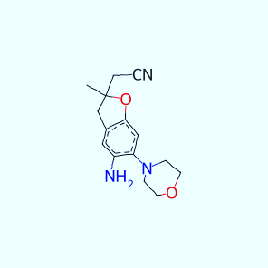 CC1(CC#N)Cc2cc(N)c(N3CCOCC3)cc2O1